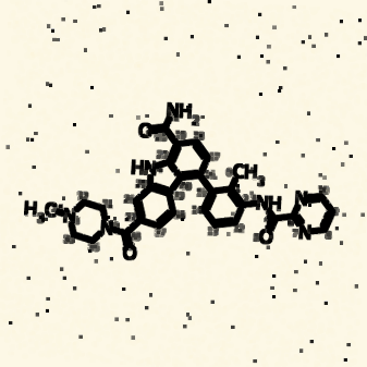 Cc1c(NC(=O)c2ncccn2)cccc1-c1ccc(C(N)=O)c2[nH]c3cc(C(=O)N4CCN(C)CC4)ccc3c12